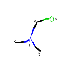 CN(C)[CH]Cl